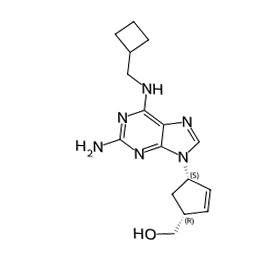 Nc1nc(NCC2CCC2)c2ncn([C@@H]3C=C[C@H](CO)C3)c2n1